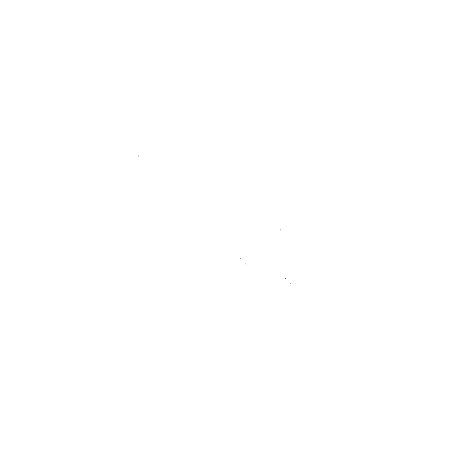 c1ccc(-c2nc(-c3ccccc3)nc(-c3cccc4c3oc3cccc(-n5c6ccccc6c6ccccc65)c34)n2)cc1